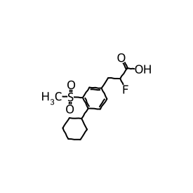 CS(=O)(=O)c1cc(CC(F)C(=O)O)ccc1C1CCCCC1